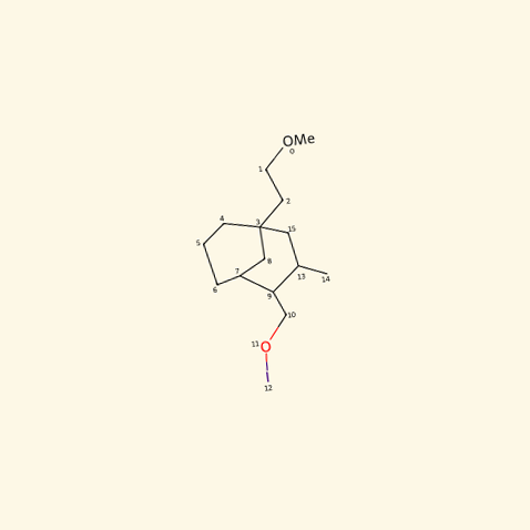 COCCC12CCCC(C1)C(COI)C(C)C2